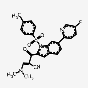 Cc1ccc(S(=O)(=O)n2c(C(=O)C(C#N)=CN(C)C)cc3ccc(-c4ccc(F)cn4)cc32)cc1